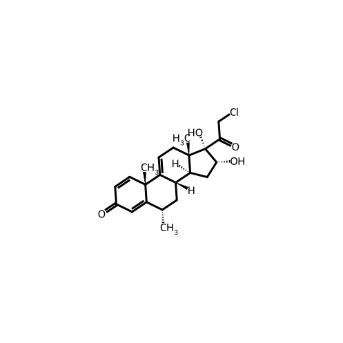 C[C@H]1C[C@@H]2C(=CC[C@@]3(C)[C@H]2C[C@@H](O)[C@]3(O)C(=O)CCl)[C@@]2(C)C=CC(=O)C=C12